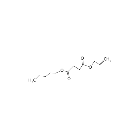 C=CCOC(=O)CCC(=O)OCCCCC